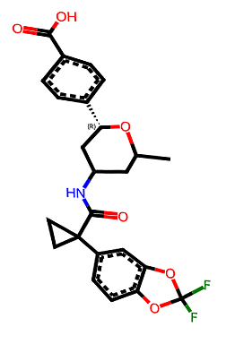 CC1CC(NC(=O)C2(c3ccc4c(c3)OC(F)(F)O4)CC2)C[C@H](c2ccc(C(=O)O)cc2)O1